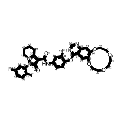 O=C(Nc1ccc(Oc2ncnc3cc4c(cc23)OCCOCCOCCO4)c(F)c1)c1c2n(n(-c3cc(F)ccc3F)c1=O)CCCC2